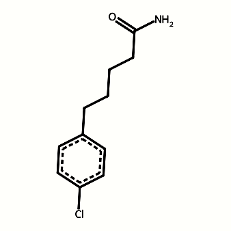 NC(=O)CCCCc1ccc(Cl)cc1